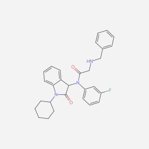 O=C1C(N(C(=O)CNCc2ccccc2)c2cccc(F)c2)c2ccccc2N1C1CCCCC1